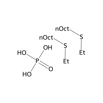 CCCCCCCCSCC.CCCCCCCCSCC.O=P(O)(O)O